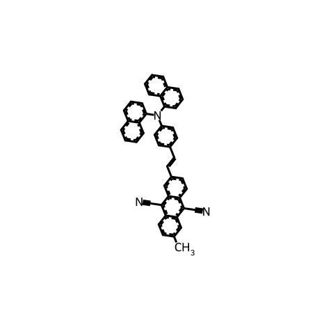 Cc1ccc2c(C#N)c3cc(C=Cc4ccc(N(c5cccc6ccccc56)c5cccc6ccccc56)cc4)ccc3c(C#N)c2c1